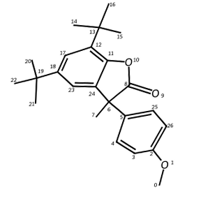 COc1ccc(C2(C)C(=O)Oc3c(C(C)(C)C)cc(C(C)(C)C)cc32)cc1